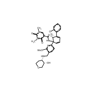 COc1nc(C2(NC(=O)c3cn(C)c(=O)n(C)c3=O)C=CC=C(c3ccccc3Cl)C2C)ccc1CN[C@H]1CCOC[C@H]1O